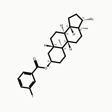 CC(=O)[C@H]1CC[C@H]2[C@@H]3CC[C@H]4C[C@H](OC(=O)c5cccc(I)c5)CC[C@]4(C)[C@H]3CC[C@]12C